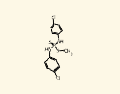 CSP(=S)(Nc1ccc(Cl)cc1)Nc1ccc(Cl)cc1